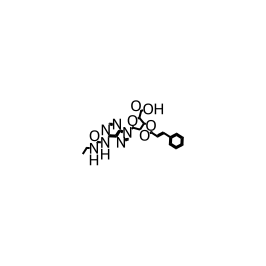 CCNC(=O)Nc1ncnc2c1ncn2C1OC(C(=O)O)C2OC(/C=C/c3ccccc3)OC21